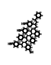 CC(CC(CC(CC(CC(CC(CC(CC(C)c1ccccc1)c1ccc(S)cc1)c1ccccc1)c1ccc(S)cc1)c1ccccc1)c1ccccc1)c1ccc(S)cc1)c1ccc(S)cc1